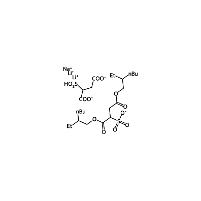 CCCCC(CC)COC(=O)CC(C(=O)OCC(CC)CCCC)S(=O)(=O)[O-].O=C([O-])CC(C(=O)[O-])S(=O)(=O)O.[Li+].[Li+].[Na+]